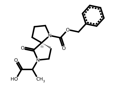 CC(C(=O)O)N1CC[C@@]2(CCCN2C(=O)OCc2ccccc2)C1=O